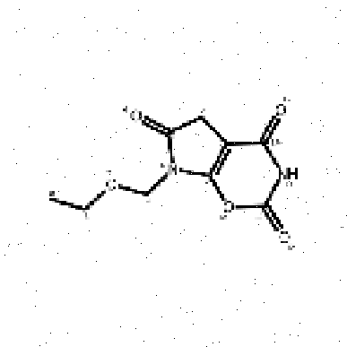 CCOCN1C(=O)Cc2c1oc(=O)[nH]c2=O